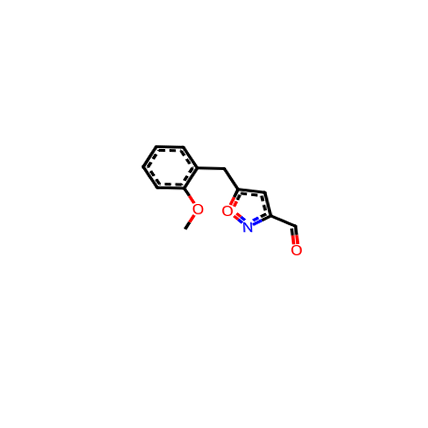 COc1ccccc1Cc1cc(C=O)no1